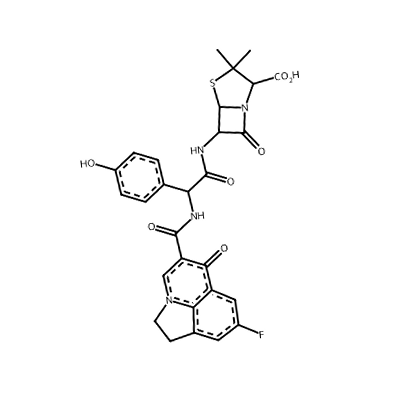 CC1(C)SC2C(NC(=O)C(NC(=O)c3cn4c5c(cc(F)cc5c3=O)CC4)c3ccc(O)cc3)C(=O)N2C1C(=O)O